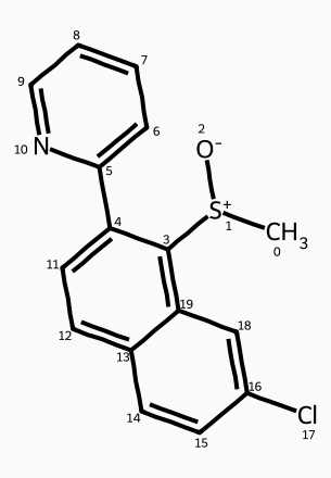 C[S+]([O-])c1c(-c2ccccn2)ccc2ccc(Cl)cc12